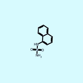 NS(=O)(=O)Nc1cccc2ccccc12